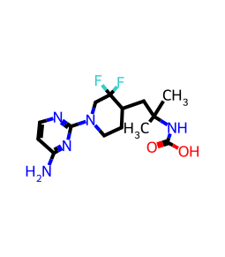 CC(C)(CC1CCN(c2nccc(N)n2)CC1(F)F)NC(=O)O